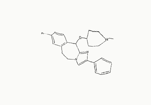 CN1CCC(OC2c3ccc(Br)cc3CCn3cc(-c4ccccc4)nc32)CC1